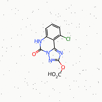 O=C(O)Oc1nc2c3c(Cl)cccc3[nH]c(=O)n2n1